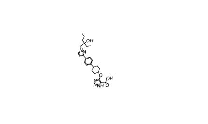 CCCC(O)(CC)Cn1ccc(-c2ccc(C3CCC(Oc4nn[nH]c4C(=O)O)CC3)cc2)n1